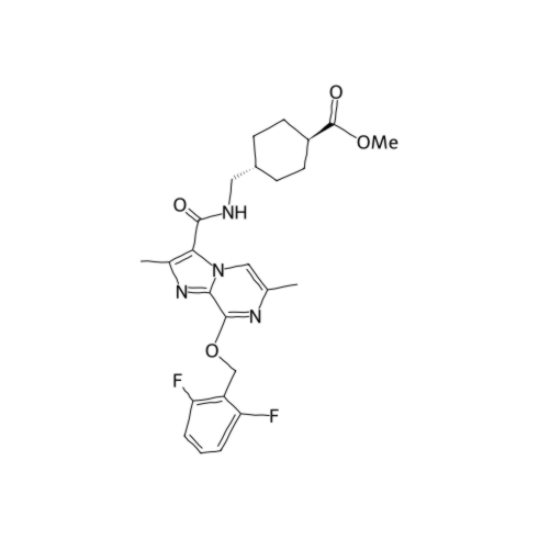 COC(=O)[C@H]1CC[C@H](CNC(=O)c2c(C)nc3c(OCc4c(F)cccc4F)nc(C)cn23)CC1